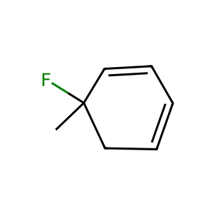 CC1(F)C=CC=CC1